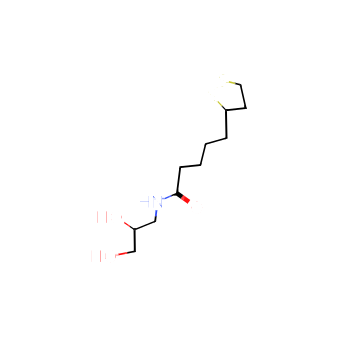 O=C(CCCCC1CCSS1)NCC(O)CO